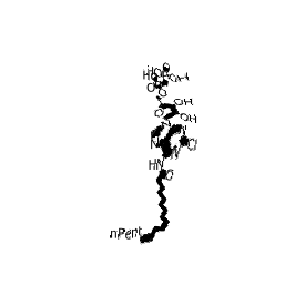 CCCCC/C=C\C/C=C\CCCCCCCC(=O)Nc1nc(Cl)nc2c1ncn2[C@@H]1O[C@H](COP(=O)(O)CP(=O)(O)O)[C@H](O)[C@@H]1O